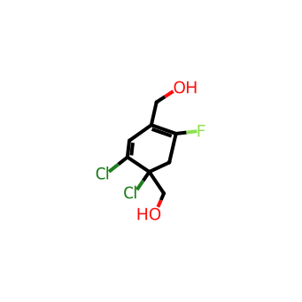 OCC1=C(F)CC(Cl)(CO)C(Cl)=C1